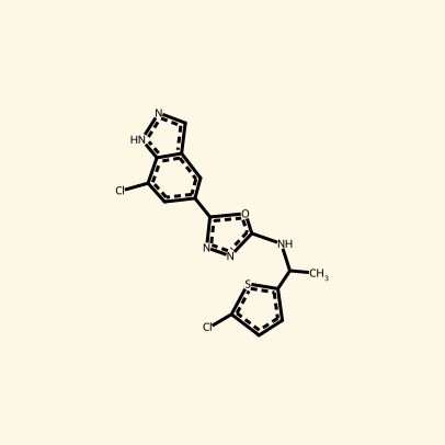 CC(Nc1nnc(-c2cc(Cl)c3[nH]ncc3c2)o1)c1ccc(Cl)s1